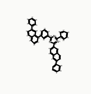 c1ccc(-c2ccc3cc(-c4nc(-c5ccccc5)nc(-c5cccc(-c6cccc7ccc(-c8ccccc8)cc67)c5)n4)ccc3c2)cc1